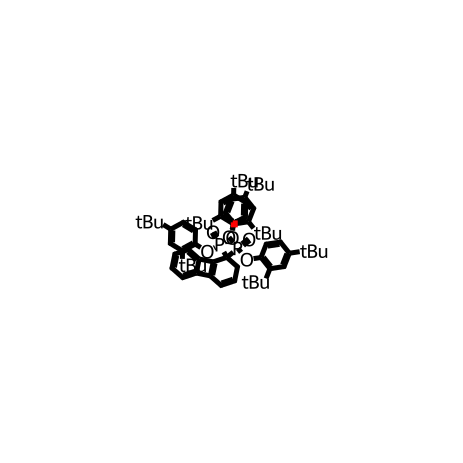 CC(C)(C)c1ccc(OP(=O)(Oc2ccc(C(C)(C)C)cc2C(C)(C)C)C2(P(=O)(Oc3ccc(C(C)(C)C)cc3C(C)(C)C)Oc3ccc(C(C)(C)C)cc3C(C)(C)C)CC=CC3=C2c2ccccc23)c(C(C)(C)C)c1